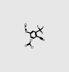 N#Cc1ccc(N=C=O)cc1C(F)(F)F.O=C(Cl)Cl